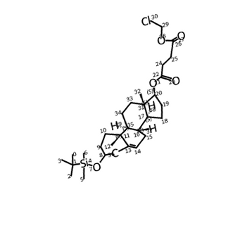 CC(C)(C)[Si](C)(C)OC1CC[C@@]2(C)C(=CC[C@H]3[C@@H]4CC[C@H](OC(=O)CCC(=O)OCCl)[C@@]4(C)CC[C@@H]32)C1